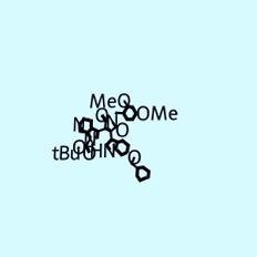 COc1ccc(CN2C(=O)C(c3c[nH]c4cc(OCc5ccccc5)ccc34)=C(c3cn(C(=O)OC(C)(C)C)c4cnccc34)C2=O)c(OC)c1